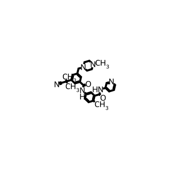 Cc1ccc(NC(=O)c2cc(CN3CCN(C)CC3)cc(C(C)(C)C#N)c2)cc1C(=O)Nc1cccnc1